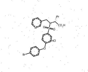 CC(C)[C@H](C(=O)O)N(Cc1cccnc1)S(=O)(=O)c1ccc(Oc2ccc(Br)cc2)cc1.Cl